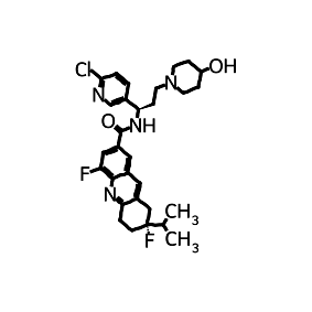 CC(C)[C@@]1(F)CCc2nc3c(F)cc(C(=O)N[C@H](CCN4CCC(O)CC4)c4ccc(Cl)nc4)cc3cc2C1